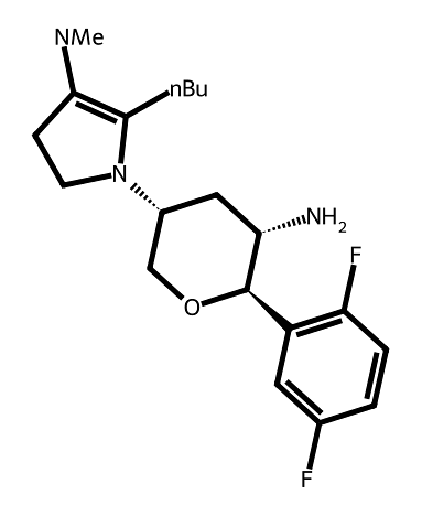 CCCCC1=C(NC)CCN1[C@H]1CO[C@H](c2cc(F)ccc2F)[C@@H](N)C1